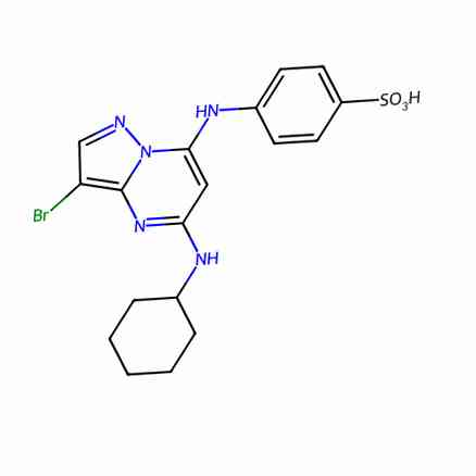 O=S(=O)(O)c1ccc(Nc2cc(NC3CCCCC3)nc3c(Br)cnn23)cc1